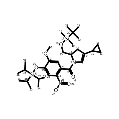 COc1cc(C(=O)N2C=C(C3CC3)CC2CO[Si](C)(C)C(C)(C)C)c([N+](=O)[O-])cc1O[Si](C(C)C)(C(C)C)C(C)C